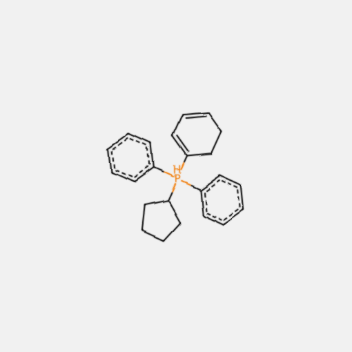 C1=CCCC([PH](c2ccccc2)(c2ccccc2)C2CCCC2)=C1